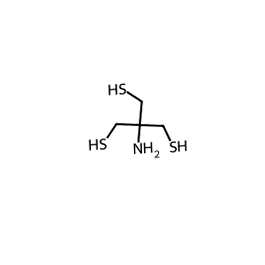 NC(CS)(CS)CS